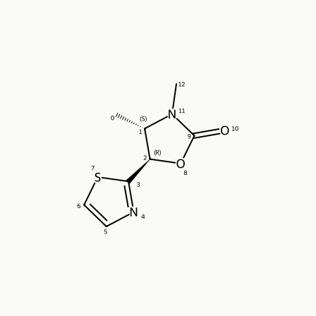 C[C@H]1[C@H](c2nccs2)OC(=O)N1C